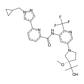 CO[C@@]1(C(C)(C)O)CCN(c2cnc(C(F)(F)F)c(NC(=O)c3cccc(-c4cnn(CC5CC5)c4)n3)c2)C1